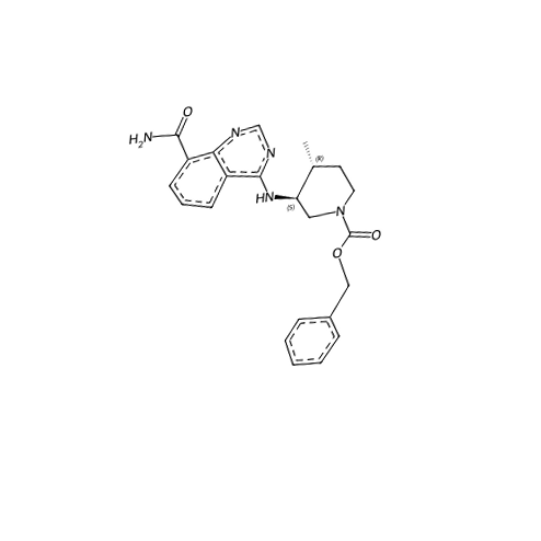 C[C@@H]1CCN(C(=O)OCc2ccccc2)C[C@H]1Nc1ncnc2c(C(N)=O)cccc12